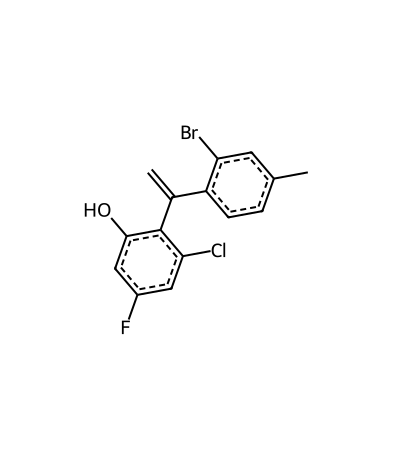 C=C(c1ccc(C)cc1Br)c1c(O)cc(F)cc1Cl